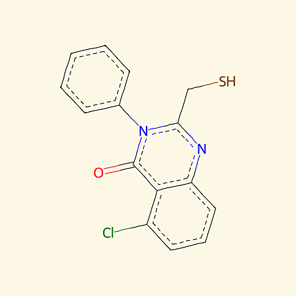 O=c1c2c(Cl)cccc2nc(CS)n1-c1ccccc1